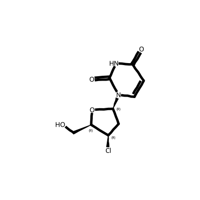 O=c1ccn([C@H]2C[C@@H](Cl)[C@@H](CO)O2)c(=O)[nH]1